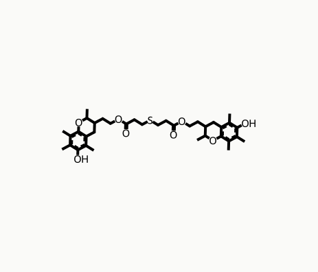 Cc1c(C)c2c(c(C)c1O)CC(CCOC(=O)CCSCCC(=O)OCCC1Cc3c(C)c(O)c(C)c(C)c3OC1C)C(C)O2